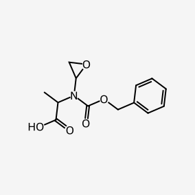 CC(C(=O)O)N(C(=O)OCc1ccccc1)C1CO1